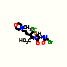 C[N+]1(CC=CC2=C(C(=O)O)N3C(=O)[C@@H](NC(=O)CBr)[C@H]3SC2)CCOCC1.[Br-]